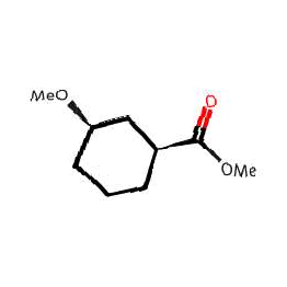 COC(=O)[C@H]1CCC[C@@H](OC)C1